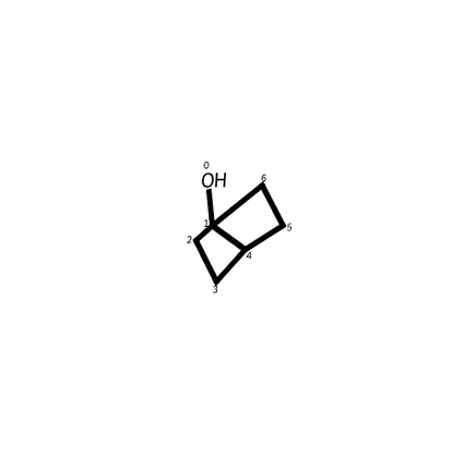 OC12CCC1CC2